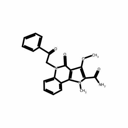 COc1c(C(N)=O)n(C)c2c1c(=O)n(CC(=O)c1ccccc1)c1ccccc21